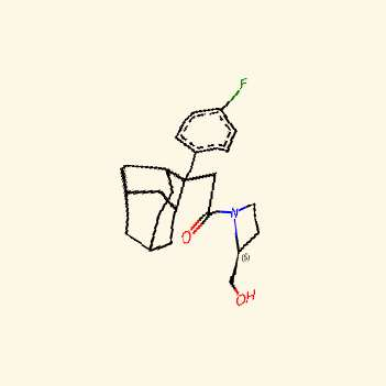 O=C(CC1(c2ccc(F)cc2)C2CC3CC(C2)CC1C3)N1CC[C@H]1CO